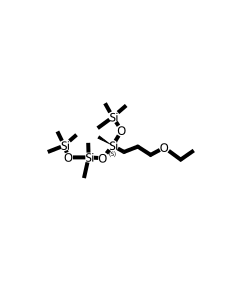 CCOCCC[Si@@](C)(O[Si](C)(C)C)O[Si](C)(C)O[Si](C)(C)C